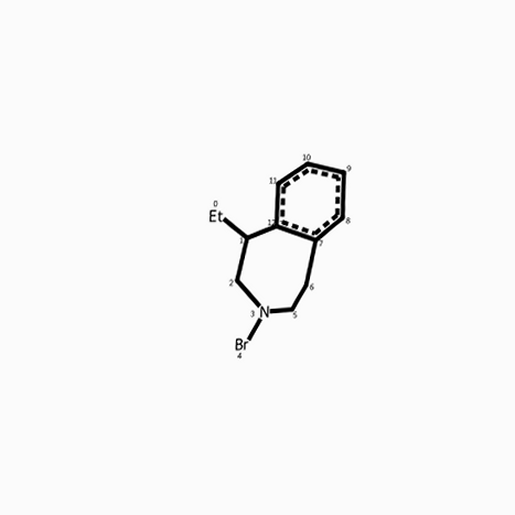 CCC1CN(Br)CCc2ccccc21